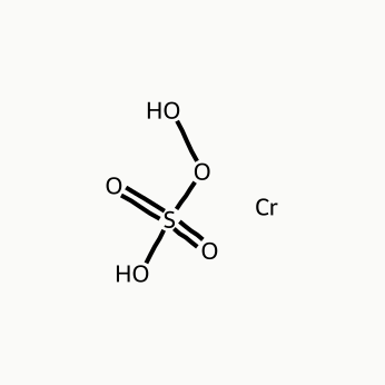 O=S(=O)(O)OO.[Cr]